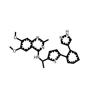 COc1cc2nc(C)nc(NC(C)c3ccc(-c4ccccc4-c4cn[nH]c4)s3)c2cc1OC